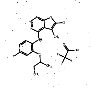 Cc1c(Cl)sc2ncnc(Nc3ccc(F)cc3OC(C)CN)c12.O=C(O)C(F)(F)F